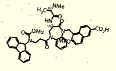 CN[C@@H](C)C(=O)N[C@H]1CN(C(=O)CCN(C(=O)OC)C2c3ccccc3-c3ccccc32)c2ccccc2N(Cc2c(OC)ccc3cc(C(=O)O)ccc23)C1=O